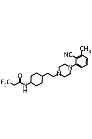 Cc1cccc(N2CCN(CCC3CCC(NC(=O)CC(F)(F)F)CC3)CC2)c1C#N